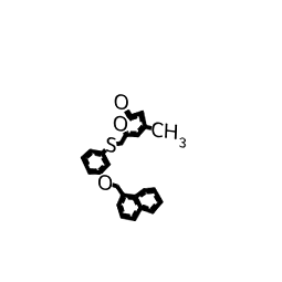 Cc1cc(CSc2cccc(OCc3cccc4ccccc34)c2)oc(=O)c1